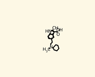 Cc1[nH]c2ccc(CCN(C)C3CCCCC3)cc2c1C(=O)O